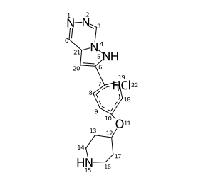 C1=NN=CN2NC(c3ccc(OC4CCNCC4)cc3)=CC12.Cl